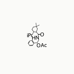 CC(=O)OC(CNC(=O)C1CC(C)(C)CCC1C(C)C)c1ccccc1